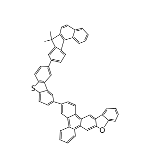 CC1(C)c2cc(-c3ccc4sc5ccc(-c6ccc7c(c6)c6ccccc6c6cc8oc9ccccc9c8cc76)cc5c4c3)ccc2-c2c1ccc1ccccc21